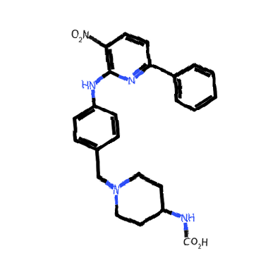 O=C(O)NC1CCN(Cc2ccc(Nc3nc(-c4ccccc4)ccc3[N+](=O)[O-])cc2)CC1